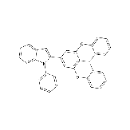 c1ccc(-n2c(-c3cc4c5c(c3)Oc3ccccc3B5c3ccccc3O4)cc3ccccc32)cc1